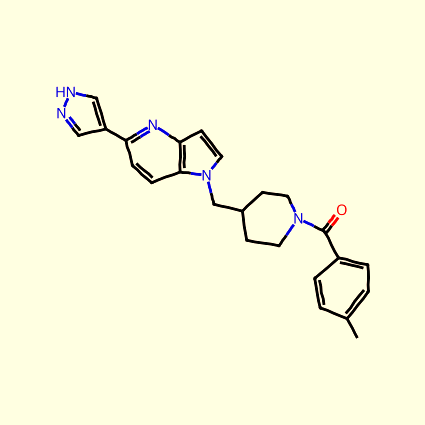 Cc1ccc(C(=O)N2CCC(Cn3ccc4nc(-c5cn[nH]c5)ccc43)CC2)cc1